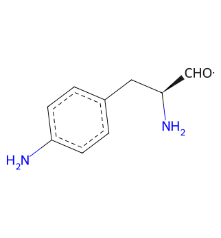 Nc1ccc(C[C@H](N)[C]=O)cc1